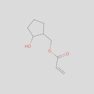 C=CC(=O)OCC1CCCC1O